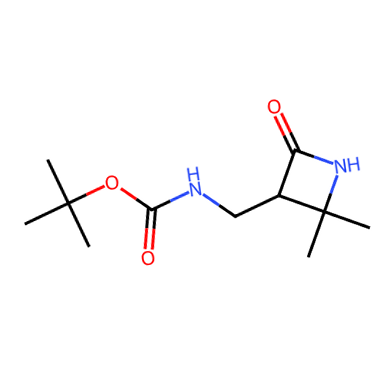 CC(C)(C)OC(=O)NCC1C(=O)NC1(C)C